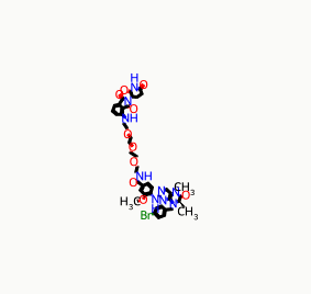 CC[C@@H]1C(=O)N(C)c2cnc(Nc3ccc(C(=O)NCCOCCOCCOCCNc4cccc5c4C(=O)N(C4CCC(=O)NC4=O)C5=O)cc3OC)nc2N1Cc1ccc(Br)cc1